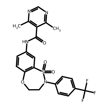 Cc1ncnc(C)c1C(=O)Nc1ccc2c(c1)S(=O)(=O)N(c1ccc(C(F)(F)F)cc1)CCO2